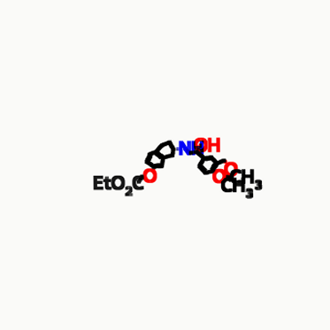 CCOC(=O)COc1ccc2c(c1)C[C@@H](NC[C@@H](O)c1ccc3c(c1)COC(C)(C)O3)CC2